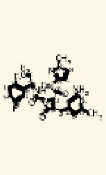 CC[C@@H](NC(=O)N1C(=O)[C@H](Cc2cc(C)nc(N)c2)[C@H]1C(=O)N(C)c1ccn(C)n1)c1cc(F)ccc1F